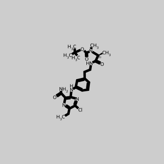 CCc1nc(C(N)=O)c(Nc2cccc(CCNC(=O)[C@H](C)N(C)C(=O)OC(C)(C)C)c2)nc1Cl